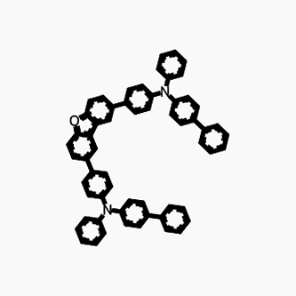 c1ccc(-c2ccc(N(c3ccccc3)c3ccc(-c4ccc5oc6ccc(-c7ccc(N(c8ccccc8)c8ccc(-c9ccccc9)cc8)cc7)cc6c5c4)cc3)cc2)cc1